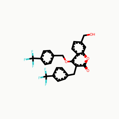 O=c1oc2cc(CO)ccc2c(OCc2ccc(C(F)(F)F)cc2)c1Cc1ccc(C(F)(F)F)cc1